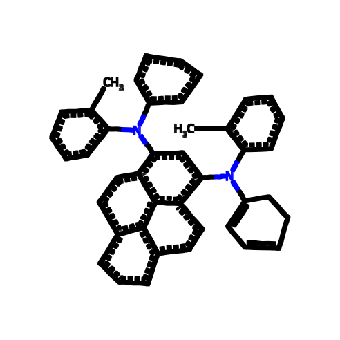 Cc1ccccc1N(C1=CC=CCC1)c1cc(N(c2ccccc2)c2ccccc2C)c2ccc3cccc4ccc1c2c43